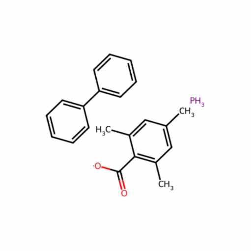 Cc1cc(C)c(C([O])=O)c(C)c1.P.c1ccc(-c2ccccc2)cc1